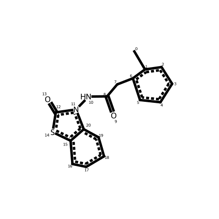 Cc1ccccc1CC(=O)Nn1c(=O)sc2ccccc21